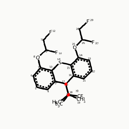 CC(Cc1cccc(OC(F)CF)c1Sc1c(CC(C)C(F)(F)F)cccc1OC(F)CF)C(F)(F)F